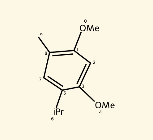 COc1cc(OC)c(C(C)C)cc1C